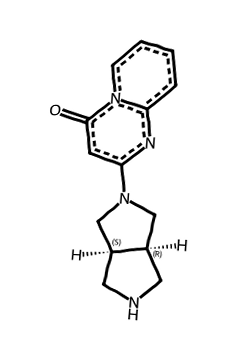 O=c1cc(N2C[C@H]3CNC[C@H]3C2)nc2ccccn12